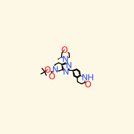 C[C@H]1COCCN1c1nc(-c2ccc3c(c2)CCC(=O)N3)nc2c1CCN(C(=O)OC(C)(C)C)C2